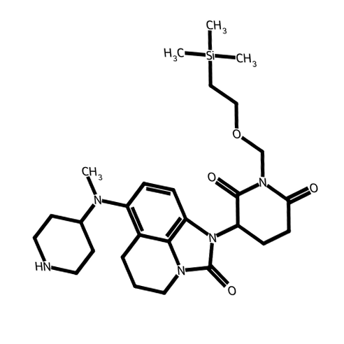 CN(c1ccc2c3c1CCCn3c(=O)n2C1CCC(=O)N(COCC[Si](C)(C)C)C1=O)C1CCNCC1